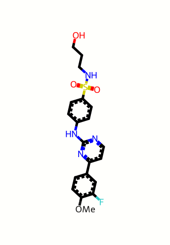 COc1ccc(-c2ccnc(Nc3ccc(S(=O)(=O)NCCCO)cc3)n2)cc1F